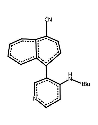 CC(C)(C)Nc1ccncc1-c1ccc(C#N)c2ccccc12